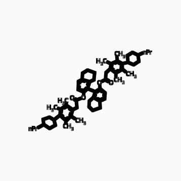 CCCC1CCC(c2c(C)c(C)c(CC(=O)Oc3ccc4c(c3-c3c(OC(=O)Cc5c(C)c(C)c(C6CCC(CCC)CC6)c(C)c5C)ccc5c3CCCC5)CCCC4)c(C)c2C)CC1